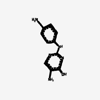 Nc1ccc(Nc2ncc(N)c(O)n2)cc1